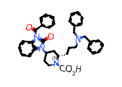 O=C(O)N1CCC(n2c(=O)n(C(=O)c3ccccc3)c3ccccc32)C[C@@H]1CCCN(Cc1ccccc1)Cc1ccccc1